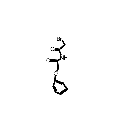 O=C(CBr)NC(=O)COc1ccccc1